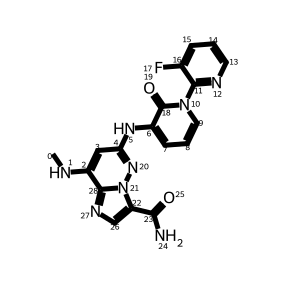 CNc1cc(Nc2cccn(-c3ncccc3F)c2=O)nn2c(C(N)=O)cnc12